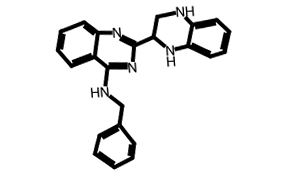 c1ccc(CNc2nc(C3CNc4ccccc4N3)nc3ccccc23)cc1